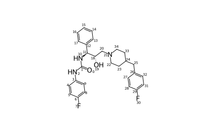 O=C(Nc1ccc(F)cc1)N[C@@H](c1ccccc1)[C@@H](O)CN1CCC(Cc2ccc(F)cc2)CC1